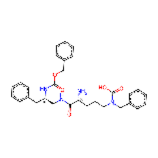 N[C@H](CCCN(Cc1ccccc1)C(=O)O)C(=O)NC[C@@H](Cc1ccccc1)NC(=O)OCc1ccccc1